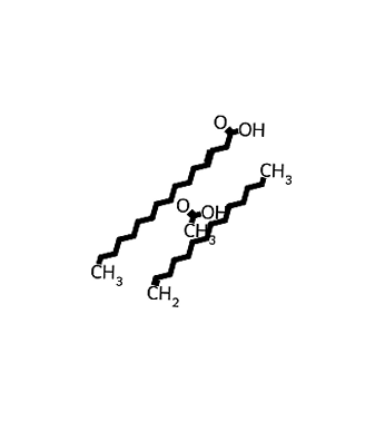 C=CCCCCCCCCCCCC.CC(=O)O.CCCCCCCCCCCCC=CCC(=O)O